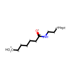 CCCCCCCCCNC(=O)CCCCCC(=O)O